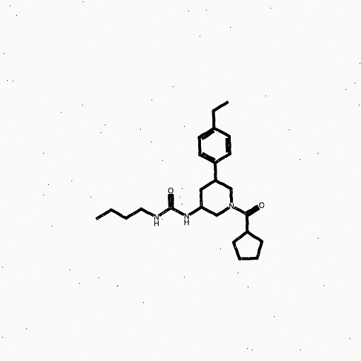 CCCCNC(=O)NC1CC(c2ccc(CC)cc2)CN(C(=O)C2CCCC2)C1